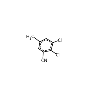 Cc1cc(Cl)c(Cl)c(C#N)c1